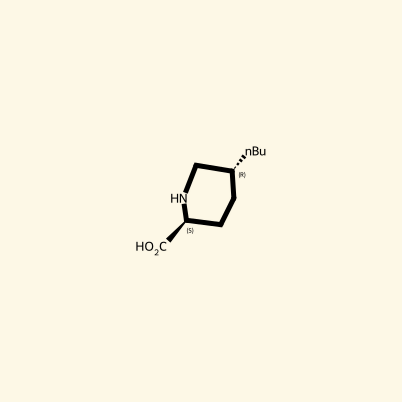 CCCC[C@@H]1CC[C@@H](C(=O)O)NC1